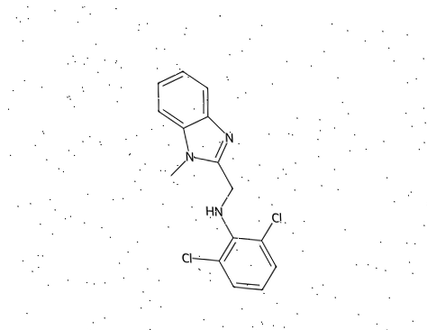 Cn1c(CNc2c(Cl)cccc2Cl)nc2ccccc21